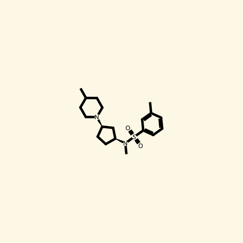 Cc1cccc(S(=O)(=O)N(C)[C@H]2CC[C@@H](N3CCC(C)CC3)C2)c1